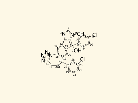 Cn1cncc1C(O)(c1ccc(Cl)cc1)c1ccc2c(c1)C(c1cccc(Cl)c1)SCc1nnnn1-2